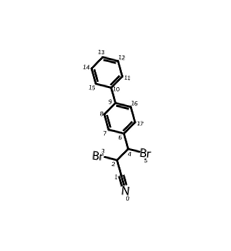 N#CC(Br)C(Br)c1ccc(-c2ccccc2)cc1